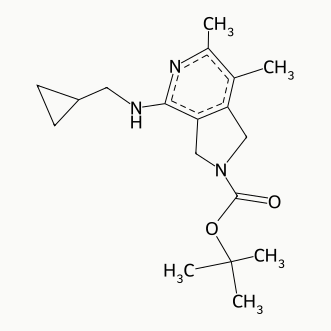 Cc1nc(NCC2CC2)c2c(c1C)CN(C(=O)OC(C)(C)C)C2